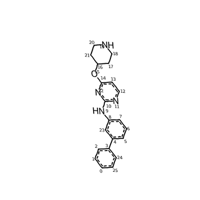 c1ccc(-c2cccc(Nc3nccc(OC4CCNCC4)n3)c2)cc1